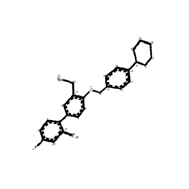 Fc1ccc(-c2ccc(OCc3ccc(C4CCCCC4)cc3)c(CBr)c2)c(F)c1